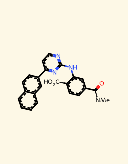 CNC(=O)c1ccc(C(=O)O)c(Nc2nccc(-c3ccc4ccccc4c3)n2)c1